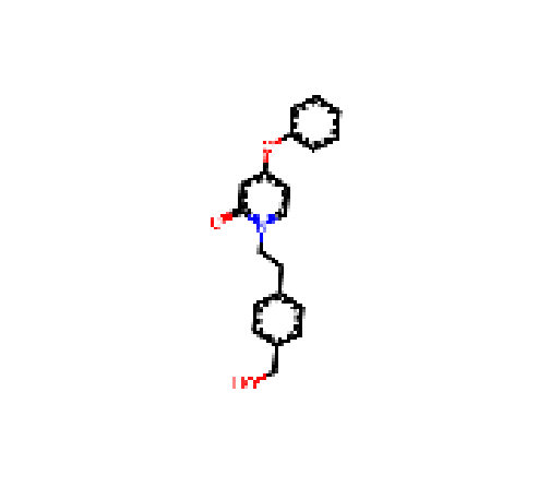 O=c1cc(Oc2ccccc2)ccn1CCc1ccc(CO)cc1